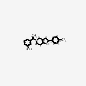 C=C(c1cccc(O)c1)N1CCC2=C(CC(c3ccc(C(F)(F)F)cc3)S2)C1